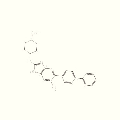 O=C[C@H]1CC[C@H](Oc2nc3nc(-c4ccc(-c5ccccc5)cc4)c(Cl)cc3[nH]2)CC1